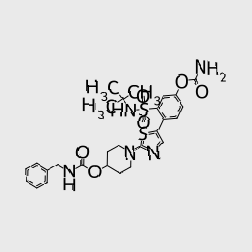 CC(C)(C)NS(=O)(=O)c1cc(OC(N)=O)ccc1-c1cnc(N2CCC(OC(=O)NCc3ccccc3)CC2)s1